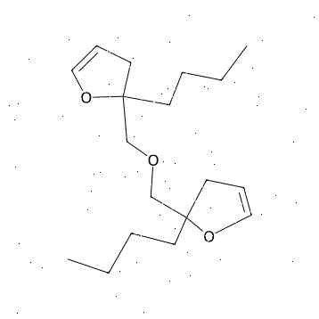 CCCCC1(COCC2(CCCC)CC=CO2)CC=CO1